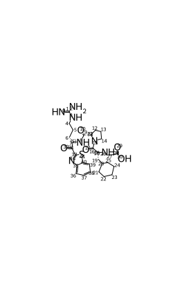 N=C(N)NCCC[C@H](NC(=O)[C@@H]1CCCN1C(=O)[C@@H](CC1CCCCC1)NCC(=O)O)C(=O)c1nc2ccccc2s1